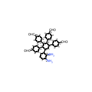 Nc1cccc(-c2cc(-c3ccc(C=O)cc3)c(-c3ccc(C=O)cc3)c(-c3ccc(C=O)cc3)c2-c2ccc(C=O)cc2)c1N